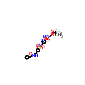 CC(C)C(=O)OCCNC(=O)Oc1ccc(C(=O)NS(=O)(=O)c2ccc(CCNC(=O)Cc3ccccc3)cc2)cn1